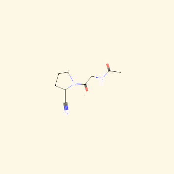 CC(=O)NCC(=O)N1CCCC1C#N